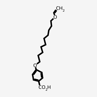 C=COCCCCCCCCCCOc1ccc(C(=O)O)cc1